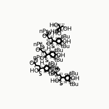 CCCOC(=O)CCC(C(O)=S)c1cc(C(C)(C)C)c(O)c(C(C)(C)C)c1.CCCOC(=O)CCC(C(O)=S)c1cc(C(C)(C)C)c(O)c(C(C)(C)C)c1.CCCOC(=O)CCC(C(O)=S)c1cc(C(C)(C)C)c(O)c(C(C)(C)C)c1.CCCOC(=O)CCC(C(O)=S)c1cc(C(C)(C)C)c(O)c(C(C)(C)C)c1.OCC(CO)(CO)CO